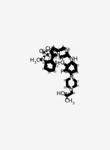 COc1c(Nc2ncc3ccc(-c4ccccc4N(C)S(C)(=O)=O)n3n2)ccc(N2CCN(C[C@H](C)O)CC2)c1F